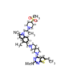 CNc1nc(N2CCC3(CCN(Cc4ccc5c(cc(C#N)n5C[C@@H](C)N5CCC(S(C)(=O)=O)CC5)c4C)C3)C2)c2cc(CC(F)(F)F)sc2n1